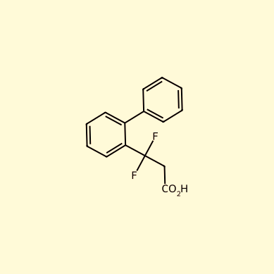 O=C(O)CC(F)(F)c1ccccc1-c1ccccc1